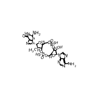 C[C@@H]1[C@@H]2O[P@@](=O)(S)OC[C@H]3O[C@@H](n4cnc5c(N)ncnc54)[C@H](O)[C@@H]3O[P@](=O)(S)OC[C@H]2O[C@H]1n1cnc2c(=O)[nH]c(N)nc21